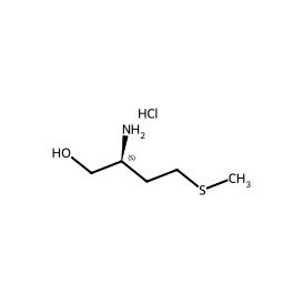 CSCC[C@H](N)CO.Cl